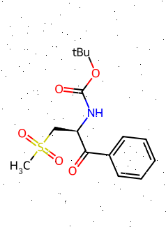 CC(C)(C)OC(=O)N[C@H](CS(C)(=O)=O)C(=O)c1ccccc1